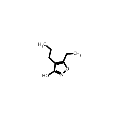 CCCc1c(O)noc1CC